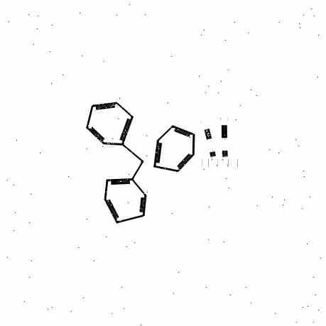 N=C=O.N=C=O.c1ccc(Cc2ccccc2)cc1.c1ccccc1